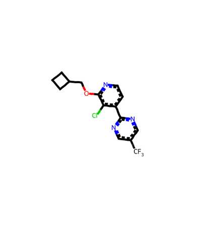 FC(F)(F)c1cnc(-c2ccnc(OCC3CCC3)c2Cl)nc1